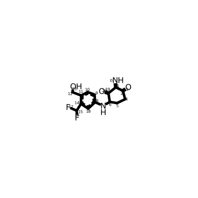 N=C1C(=O)CCC(Nc2ccc(CO)c(C(F)F)c2)C1=O